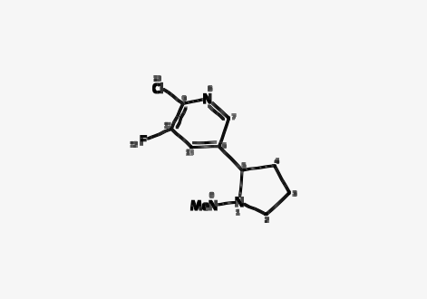 CNN1CCCC1c1cnc(Cl)c(F)c1